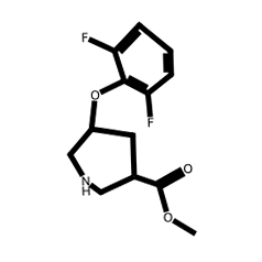 COC(=O)C1CNCC(Oc2c(F)cccc2F)C1